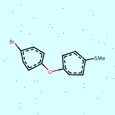 CSc1ccc(Oc2ccc(Br)cc2)cc1